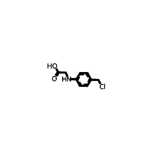 O=C(O)CNc1ccc(CCl)cc1